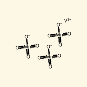 [O]=[Mn](=[O])(=[O])[O-].[O]=[Mn](=[O])(=[O])[O-].[O]=[Mn](=[O])(=[O])[O-].[V+3]